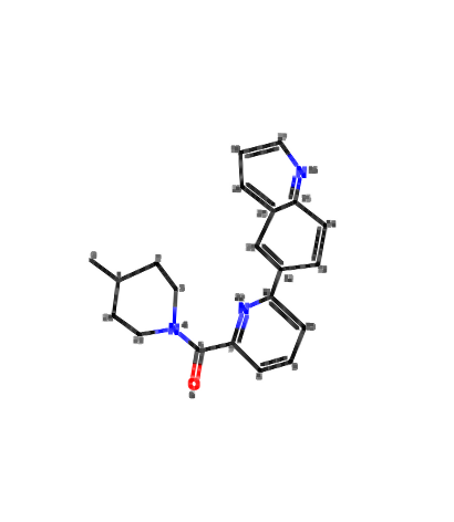 CC1CCN(C(=O)c2cccc(-c3ccc4ncccc4c3)n2)CC1